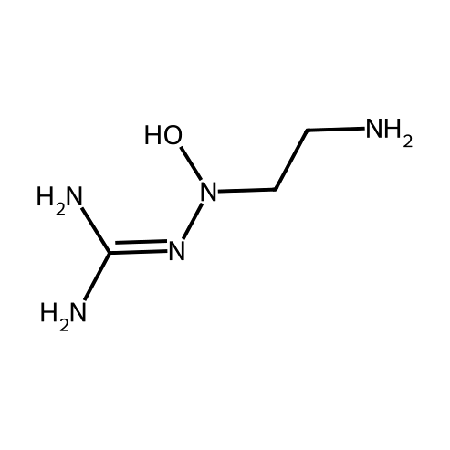 NCCN(O)N=C(N)N